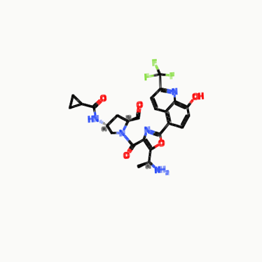 C[C@H](N)c1oc(-c2ccc(O)c3nc(C(F)(F)F)ccc23)nc1C(=O)N1C[C@H](NC(=O)C2CC2)C[C@H]1C=O